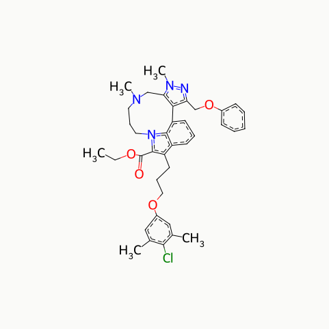 CCOC(=O)c1c(CCCOc2cc(C)c(Cl)c(C)c2)c2cccc3c2n1CCCN(C)Cc1c-3c(COc2ccccc2)nn1C